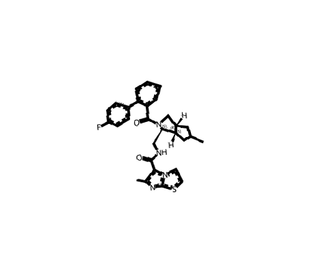 Cc1nc2sccn2c1C(=O)NC[C@@H]1[C@H]2CC(C)C[C@H]2CN1C(=O)c1ccccc1-c1ccc(F)cc1